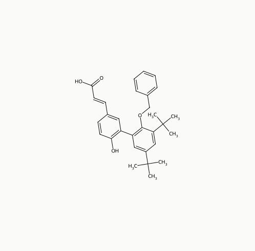 CC(C)(C)c1cc(-c2cc(/C=C/C(=O)O)ccc2O)c(OCc2ccccc2)c(C(C)(C)C)c1